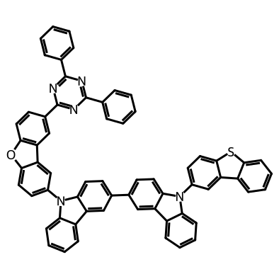 c1ccc(-c2nc(-c3ccccc3)nc(-c3ccc4oc5ccc(-n6c7ccccc7c7cc(-c8ccc9c(c8)c8ccccc8n9-c8ccc9sc%10ccccc%10c9c8)ccc76)cc5c4c3)n2)cc1